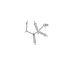 O=C(CF)S(=O)(=O)O